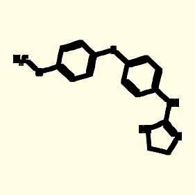 COc1ccc(Sc2ccc(NC3=NCCN3)cc2)cc1